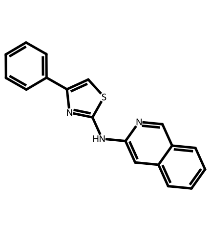 c1ccc(-c2csc(Nc3cc4ccccc4cn3)n2)cc1